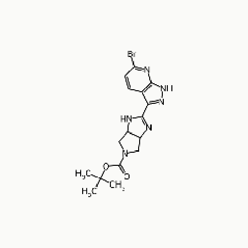 CC(C)(C)OC(=O)N1CC2N=C(c3n[nH]c4nc(Br)ccc34)NC2C1